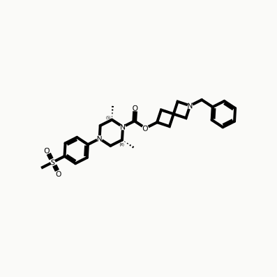 C[C@@H]1CN(c2ccc(S(C)(=O)=O)cc2)C[C@H](C)N1C(=O)OC1CC2(C1)CN(Cc1ccccc1)C2